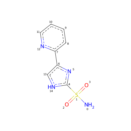 NS(=O)(=O)c1nc(-c2ccccn2)c[nH]1